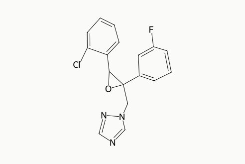 Fc1cccc(C2(Cn3cncn3)OC2c2ccccc2Cl)c1